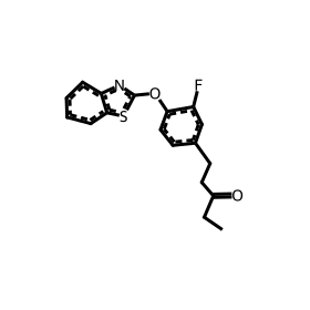 CCC(=O)CCc1ccc(Oc2nc3ccccc3s2)c(F)c1